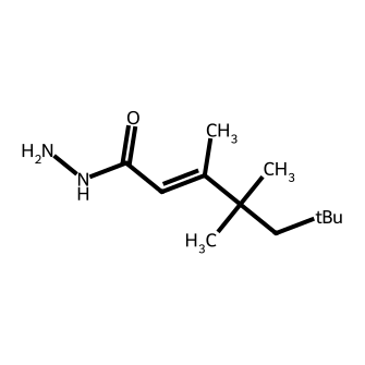 CC(=CC(=O)NN)C(C)(C)CC(C)(C)C